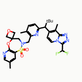 Cc1cnc2c(c1)S(=O)(=O)N(Cc1nc(C(c3ccn4c(C(F)F)nnc4c3C)C(C)(C)C)ccc1C)CC1(COC1)O2